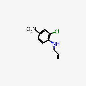 C=CCNc1ccc([N+](=O)[O-])cc1Cl